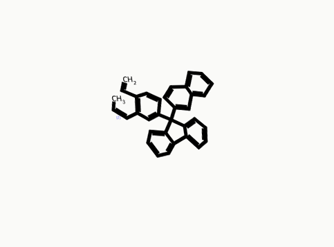 C=Cc1ccc(C2(c3ccc4ccccc4c3)c3ccccc3-c3ccccc32)cc1/C=C\C